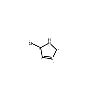 ClC1[C]=NCN1